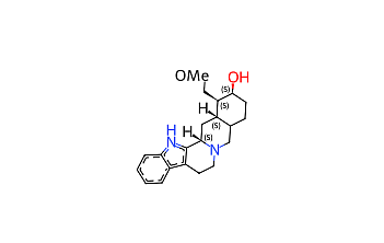 COC[C@H]1[C@@H](O)CCC2CN3CCc4c([nH]c5ccccc45)[C@@H]3C[C@@H]21